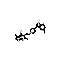 Cc1nc2scc(C)n2c(=O)c1CCN1CCC(c2c[nH]c3ccc(F)cc23)CC1